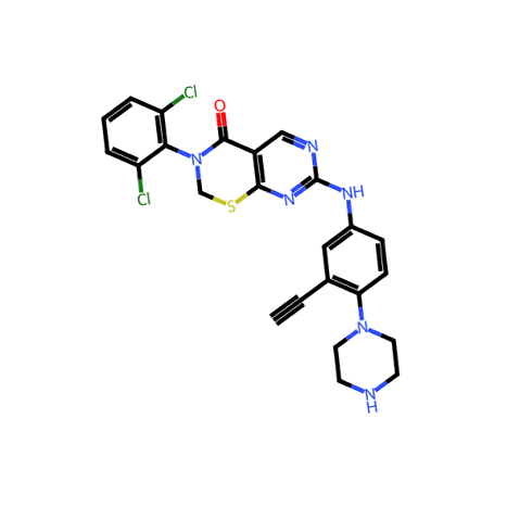 C#Cc1cc(Nc2ncc3c(n2)SCN(c2c(Cl)cccc2Cl)C3=O)ccc1N1CCNCC1